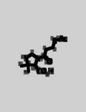 CC(=O)SCCC(=O)N1CSC(C)(C)C1C(=O)O